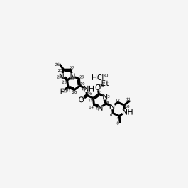 CCOc1nc(N2CC(C)NC(C)C2)ncc1C(=O)Nc1cc(F)c2nc(C)cn2c1.Cl